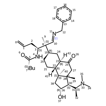 C=CC[C@H](NC(=O)[C@@H](C)CC)[C@@](C)(/C=N/Cc1ccccc1)[C@@H]1CC[C@@H]2[C@@H](C1)C(=O)C[C@]1(C)[C@@H]([C@H](C)N(C)C)[C@H](O)C[C@@]21C